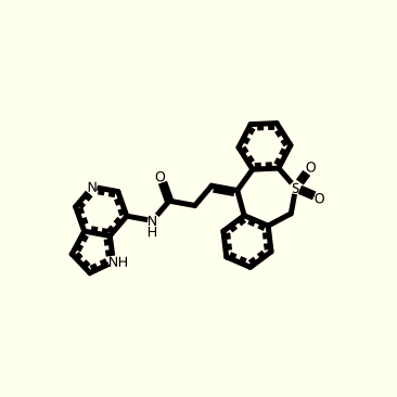 O=C(C/C=C1\c2ccccc2CS(=O)(=O)c2ccccc21)Nc1cncc2cc[nH]c12